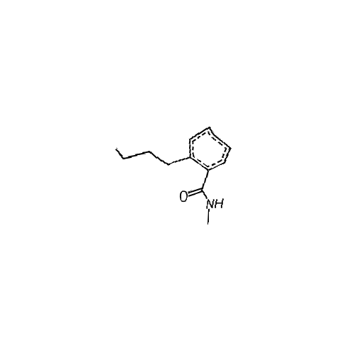 CCCCc1ccccc1C(=O)NC